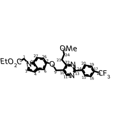 CCOC(=O)Cn1ccc2cc(OCc3cnc(-c4ccc(C(F)(F)F)cc4)nc3CCOC)ccc21